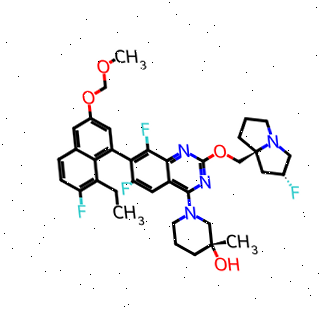 CCc1c(F)ccc2cc(OCOC)cc(-c3c(F)cc4c(N5CCC[C@@](C)(O)C5)nc(OC[C@@]56CCCN5C[C@H](F)C6)nc4c3F)c12